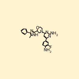 Cc1[nH]c(C2CN(c3cc(-c4ccc(N)c(F)c4)nc(N)n3)CCO2)nc1-c1ccccc1